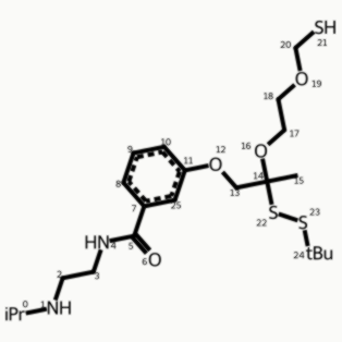 CC(C)NCCNC(=O)c1cccc(OCC(C)(OCCOCS)SSC(C)(C)C)c1